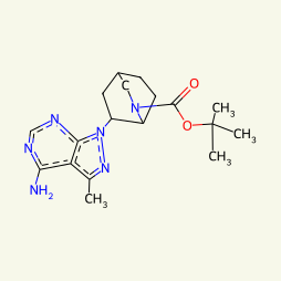 Cc1nn(C2CC3CCC2N(C(=O)OC(C)(C)C)C3)c2ncnc(N)c12